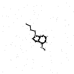 CCCCn1ccc2c(OC)cccc21